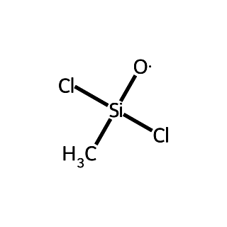 C[Si]([O])(Cl)Cl